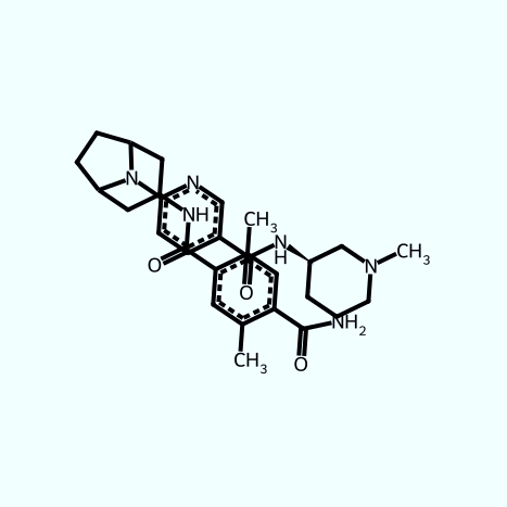 Cc1cc(C(=O)NC2CC3CCC(C2)N3c2ccc(C(=O)N[C@@H]3CCCN(C)C3)cn2)c(C)cc1C(N)=O